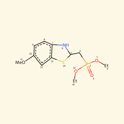 CCOP(=O)(CC1Nc2ccc(OC)cc2S1)OCC